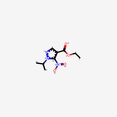 CCOC(=O)c1cnn(C(C)C)c1[N+](=O)[O-]